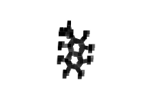 Fc1c(F)c(F)c2c(F)[c]([Mg][I])c(F)c(F)c2c1F